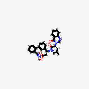 COC(=O)C[C@H](NC(=O)[C@H](CC(C)C)n1cnc2ccccc2c1=O)c1cccc(-c2ccccc2C#N)c1